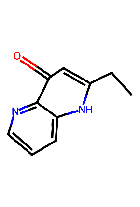 CCc1cc(=O)c2ncccc2[nH]1